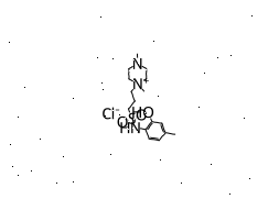 Cc1ccc(NS(=O)(=O)CCC[N+]2(C)CCN(C)CC2)c(O)c1.[Cl-]